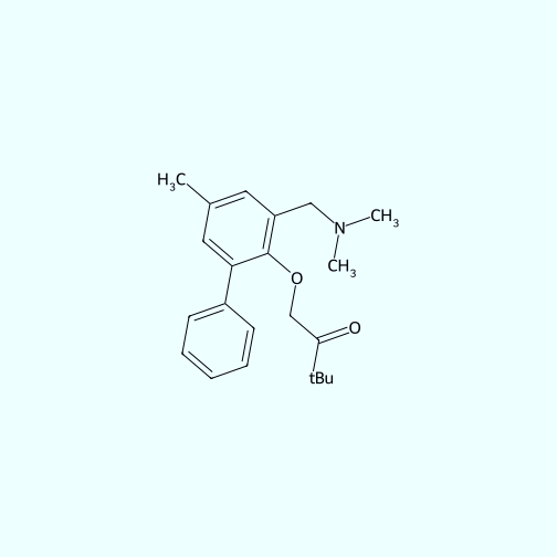 Cc1cc(CN(C)C)c(OCC(=O)C(C)(C)C)c(-c2ccccc2)c1